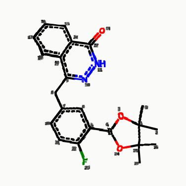 CC1(C)OB(c2cc(Cc3n[nH]c(=O)c4ccccc34)ccc2F)OC1(C)C